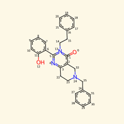 O=c1c2c(nc(-c3ccccc3O)n1CCc1ccccc1)CCN(Cc1ccccc1)C2